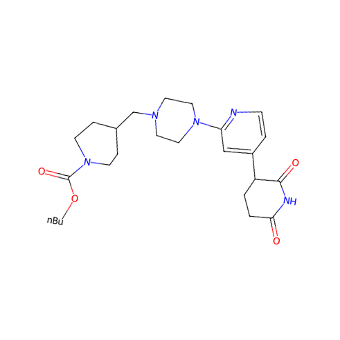 CCCCOC(=O)N1CCC(CN2CCN(c3cc(C4CCC(=O)NC4=O)ccn3)CC2)CC1